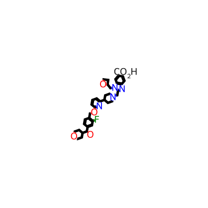 O=C(O)c1ccc2nc(CN3CCC(c4cccc(OCc5ccc(C(=O)C6CCOCC6)cc5F)n4)CC3)n(CC3CCO3)c2c1